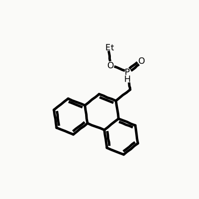 CCO[PH](=O)Cc1cc2ccccc2c2ccccc12